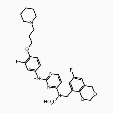 O=C(O)N(Cc1cc(F)cc2c1OCOC2)c1ccnc(Nc2ccc(OCCCN3CCCCC3)c(F)c2)n1